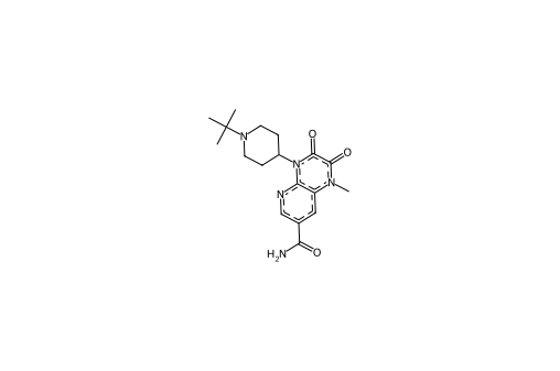 Cn1c(=O)c(=O)n(C2CCN(C(C)(C)C)CC2)c2ncc(C(N)=O)cc21